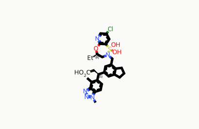 CC[C@@H]1CN(Cc2cc([C@H](CC(=O)O)c3ccc4c(nnn4C)c3C)cc3c2CCC3)S(O)(O)c2cc(Cl)cnc2O1